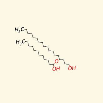 CCCCCCCCCCCC(=O)O.CCCCCCCCCCCCCCCCCCO